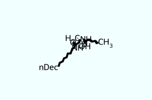 C/C=C/C=C/C(=O)N[C@@H](C)[C@@H](O)C(=O)NCCCCCCCCCCCCCCCCCC